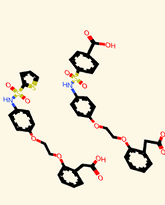 O=C(O)Cc1ccccc1OCCOc1ccc(NS(=O)(=O)c2ccc(C(=O)O)cc2)cc1.O=C(O)Cc1ccccc1OCCOc1ccc(NS(=O)(=O)c2cccs2)cc1